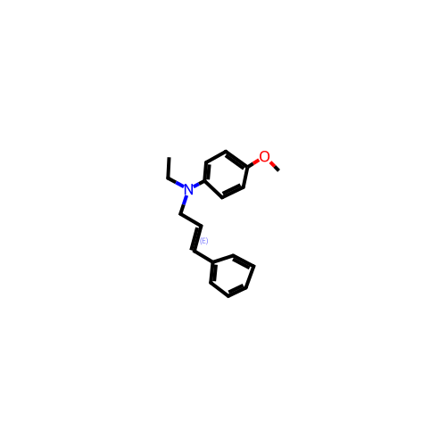 CCN(C/C=C/c1ccccc1)c1ccc(OC)cc1